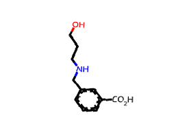 O=C(O)c1cccc(CNCCCO)c1